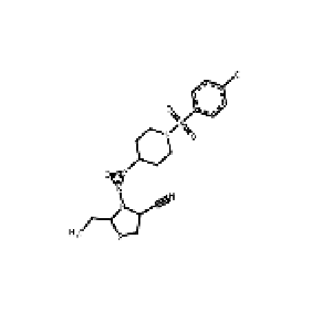 CCC1SCC(C#N)N1n1on1C1CCN(S(=O)(=O)c2ccc(Cl)cc2)CC1